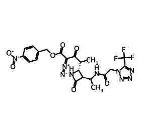 CC(C(=O)C(=[N+]=[N-])C(=O)OCc1ccc([N+](=O)[O-])cc1)[C@H]1NC(=O)[C@@H]1C(C)NC(=O)Cn1nnnc1C(F)(F)F